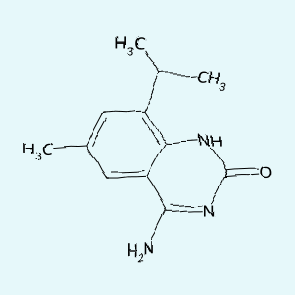 Cc1cc(C(C)C)c2[nH]c(=O)nc(N)c2c1